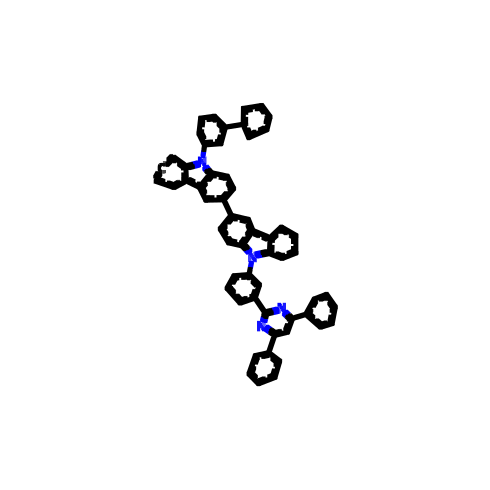 c1ccc(-c2cccc(-n3c4ccccc4c4cc(-c5ccc6c(c5)c5ccccc5n6-c5cccc(-c6nc(-c7ccccc7)cc(-c7ccccc7)n6)c5)ccc43)c2)cc1